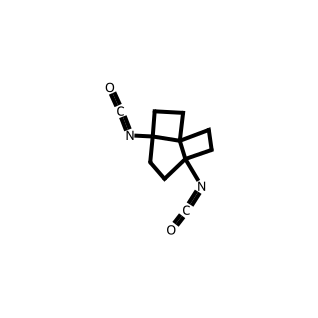 O=C=NC12CCC3(N=C=O)CCC13CC2